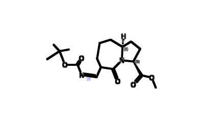 COC(=O)[C@@H]1CC[C@@H]2CCCC(/C=N\C(=O)OC(C)(C)C)C(=O)N21